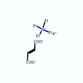 CC[N+](CC)(CC)CC.O=C([O-])C=CC(=O)[O-].[K+]